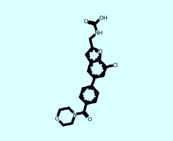 O=C(O)NCc1cc2cc(-c3ccc(C(=O)N4CCOCC4)cc3)cc(Cl)c2o1